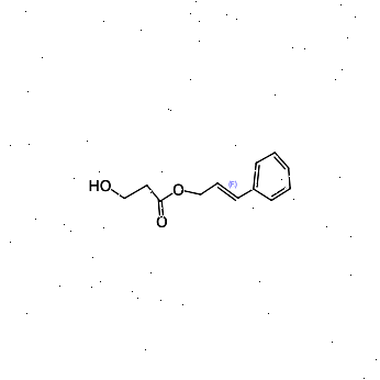 O=C(CCO)OC/C=C/c1ccccc1